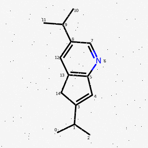 CC(C)C1=Cc2ncc(C(C)C)cc2C1